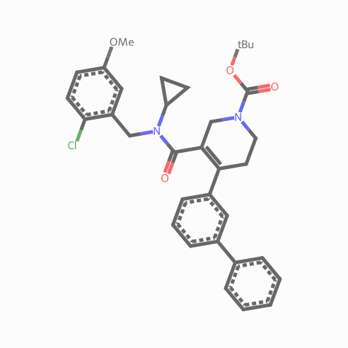 COc1ccc(Cl)c(CN(C(=O)C2=C(c3cccc(-c4ccccc4)c3)CCN(C(=O)OC(C)(C)C)C2)C2CC2)c1